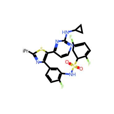 CC(C)c1nc(-c2ccc(F)c(NS(=O)(=O)C3CC(F)=CC=C3F)c2)c(-c2ccnc(NC3CC3)n2)s1